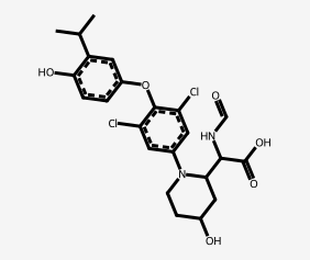 CC(C)c1cc(Oc2c(Cl)cc(N3CCC(O)CC3C(NC=O)C(=O)O)cc2Cl)ccc1O